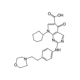 O=C(O)c1cn(C2CCCCC2)c2nc(Nc3ccc(CCN4CCOCC4)cc3)ncc2c1=O